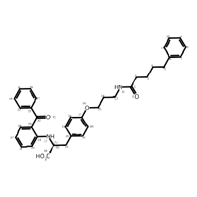 O=C(CCCCc1ccccc1)NCCCOc1ccc(C[C@H](Nc2ccccc2C(=O)c2ccccc2)C(=O)O)cc1